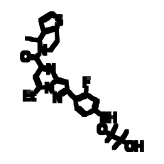 CCc1cc(C(=O)N2CCc3sccc3C2C)nc2cc(-c3ccc(BOC(C)(C)C(C)(C)O)cc3F)nn12